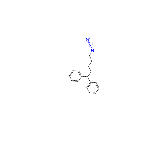 [N-]=[N+]=NCCCCC(c1ccccc1)c1ccccc1